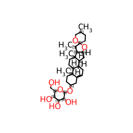 C[C@@H]1CC[C@@]2(OC1)O[C@H]1C[C@H]3[C@@H]4CC=C5C[C@@H](O[C@@H]6O[C@H](CO)[C@@H](O)[C@H](O)[C@H]6O)CC[C@]5(C)[C@H]4CC[C@]3(C)[C@H]1[C@@H]2C